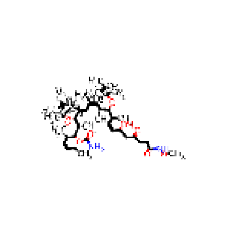 CC/C=C\C(C)[C@H](OC(N)=O)[C@@H](C)[C@H](O[Si](C)(C)C(C)(C)C)[C@@H](C)C/C(C)=C\[C@H](C)[C@@H](O[Si](C)(C)C(C)(C)C)C(C)/C=C\C(O)CC(=O)CCC(=O)NOC